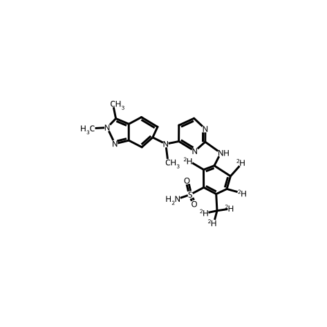 [2H]c1c([2H])c(C([2H])([2H])[2H])c(S(N)(=O)=O)c([2H])c1Nc1nccc(N(C)c2ccc3c(C)n(C)nc3c2)n1